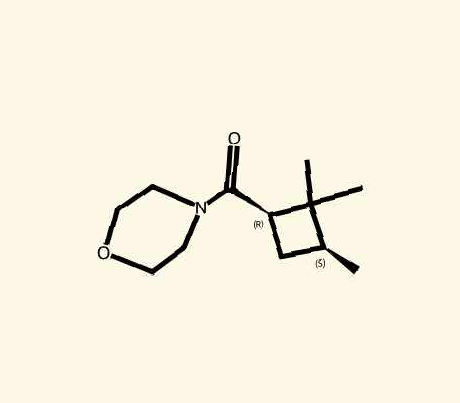 C[C@H]1C[C@@H](C(=O)N2CCOCC2)C1(C)C